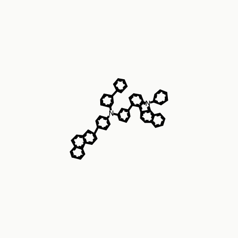 c1ccc(-c2cccc(N(c3ccc(-c4ccc5c(ccc6ccccc65)c4)cc3)c3cccc(-c4cccc5c4c4ccc6ccccc6c4n5-c4ccccc4)c3)c2)cc1